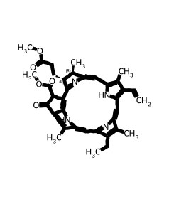 C=Cc1c(C)c2cc3nc(c4c5[nH]c(cc6nc(cc1[nH]2)C(C)=C6CC)c(C)c5C(=O)C4C(=O)OC)[C@H](CCC(=O)OC)[C@H]3C